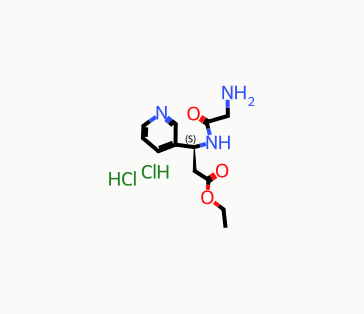 CCOC(=O)C[C@H](NC(=O)CN)c1cccnc1.Cl.Cl